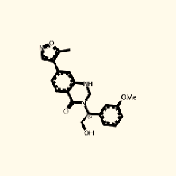 COc1cccc([C@@H](CO)N2CNc3cc(-c4cnoc4C)ccc3C2=O)c1